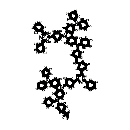 CC(C)(C)c1ccc(N(c2ccccc2)c2ccc3c(c2)c2cc(N(c4ccccc4)c4ccccc4)ccc2n3-c2ccc(-c3nc(-c4ccccc4)nc(-c4cccc(Cc5ccc(N(c6ccccc6)c6ccc7c(c6)c6cc(N(c8ccccc8)c8ccccc8)ccc6n7-c6ccc(-c7nc(-c8ccccc8)nc(-c8ccccc8)n7)cc6)cc5)c4)n3)cc2)cc1